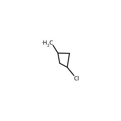 [CH2]C1CC(Cl)C1